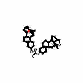 CC1(C)OCC2CCC3C4CCC5CC(OS(=O)(=O)OC6CCC7C(CCC8C7CCC79C(CCC87)COC9(C)C)C6)CCC5C4CCC231